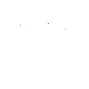 C=C(N)NS(=O)(=O)c1ccc(C)cc1